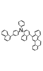 c1ccc(N(c2ccc(-c3cccc4ccccc34)cc2)c2ccc(-c3cc4c5ccccc5ccc4c4ccccc34)c3ccccc23)cc1